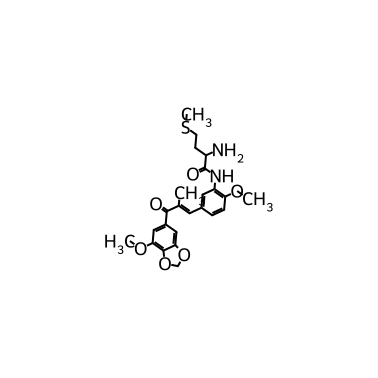 COc1ccc(C=C(C)C(=O)c2cc(OC)c3c(c2)OCO3)cc1NC(=O)C(N)CCSC